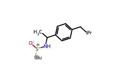 CC(C)Cc1ccc(C(C)N[S@@+]([O-])C(C)(C)C)cc1